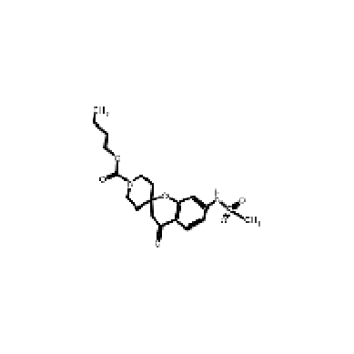 CCCCOC(=O)N1CCC2(CC1)CC(=O)c1ccc(NS(C)(=O)=O)cc1O2